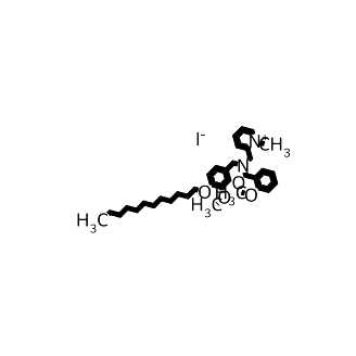 CCCCCCCCCCCCOc1ccc(CN(Cc2cccc[n+]2C)C(=O)c2ccccc2OC)cc1OC.[I-]